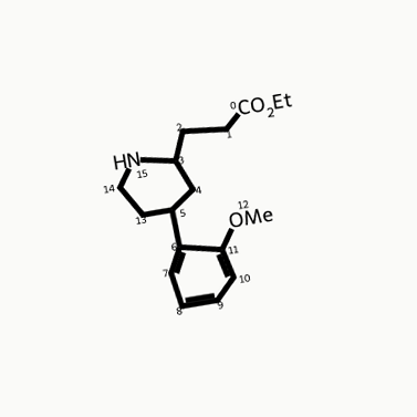 CCOC(=O)CCC1CC(c2ccccc2OC)CCN1